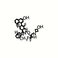 C[C@]12CC[C@H](CN(c3nc(OC[C@]4(CNC5CC(O)C5)CC4(F)F)nc4c(F)c(-c5cc(O)cc6cccc(Cl)c56)c(F)cc34)C1)N2